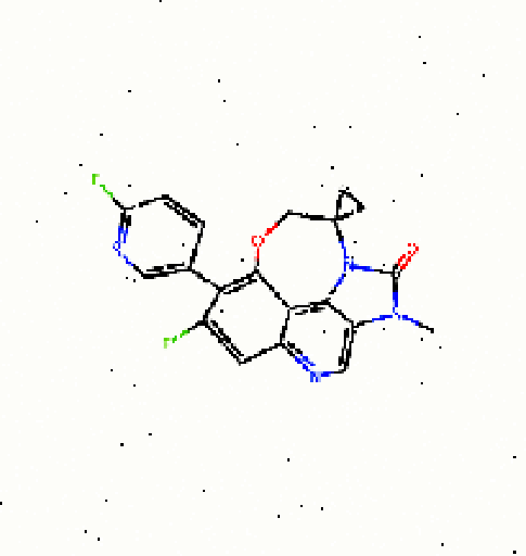 Cn1c(=O)n2c3c4c(c(-c5ccc(F)nc5)c(F)cc4ncc31)OCC21CC1